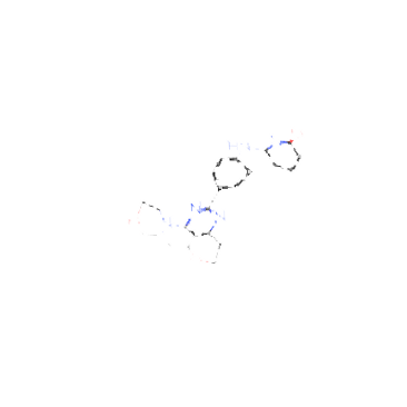 C[C@H]1COCCN1c1nc(-c2ccc(Nc3cccc(=O)[nH]3)cc2)nc2c1COCC2